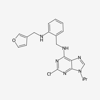 CC(C)n1cnc2c(NCc3ccccc3NCc3ccoc3)nc(Cl)nc21